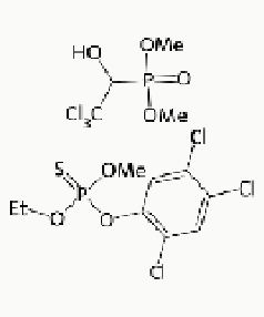 CCOP(=S)(OC)Oc1cc(Cl)c(Cl)cc1Cl.COP(=O)(OC)C(O)C(Cl)(Cl)Cl